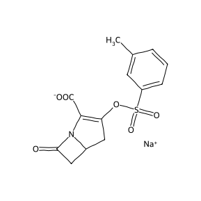 Cc1cccc(S(=O)(=O)OC2=C(C(=O)[O-])N3C(=O)CC3C2)c1.[Na+]